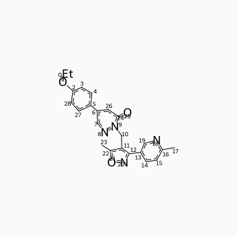 CCOc1ccc(-c2cnn(Cc3c(-c4ccc(C)nc4)noc3C)c(=O)c2)cc1